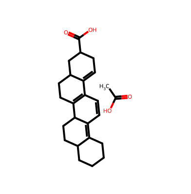 CC(=O)O.O=C(O)C1CC=C2C3=C(CCC2C1)C1CCC2CCCCC2=C1C=C3